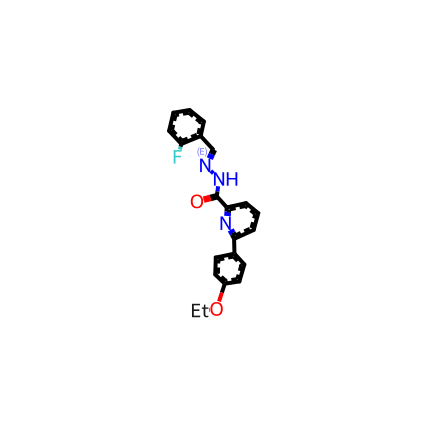 CCOc1ccc(-c2cccc(C(=O)N/N=C/c3ccccc3F)n2)cc1